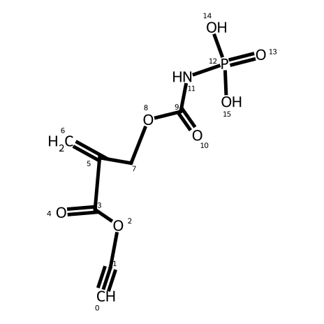 C#COC(=O)C(=C)COC(=O)NP(=O)(O)O